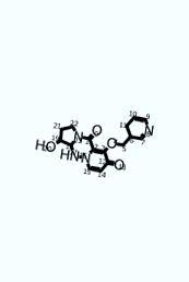 O=C1c2c(OCC3C=NC=CC3)c(=O)ccn2NC2C(O)CCN12